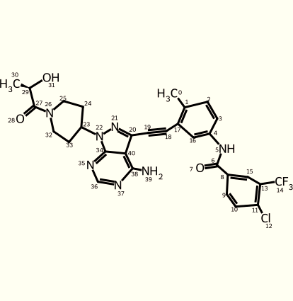 Cc1ccc(NC(=O)c2ccc(Cl)c(C(F)(F)F)c2)cc1C#Cc1nn(C2CCN(C(=O)[C@@H](C)O)CC2)c2ncnc(N)c12